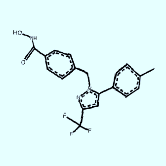 Cc1ccc(-c2cc(C(F)(F)F)nn2Cc2ccc(C(=O)NO)cc2)cc1